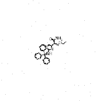 CCON=C(C(N)=O)c1csc(NC(c2ccccc2)(c2ccccc2)c2ccccc2)n1